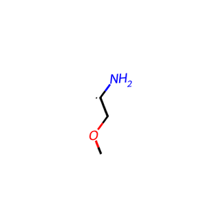 COC[CH]N